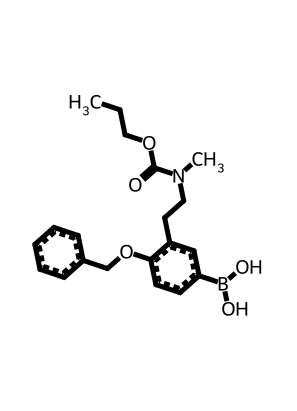 CCCOC(=O)N(C)CCc1cc(B(O)O)ccc1OCc1ccccc1